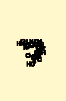 CNc1cc2nc(C)c(-c3cc(NS(=O)(=O)c4cc(Cl)cc(CO)c4Cl)c(F)cc3Br)cc2cn1